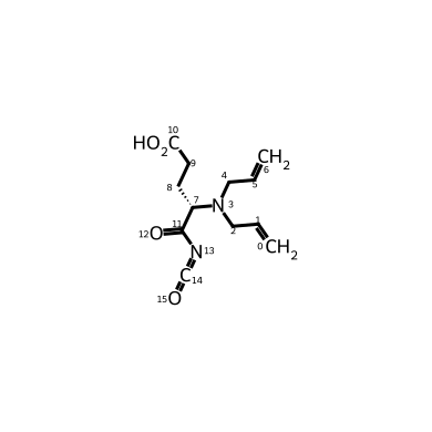 C=CCN(CC=C)[C@@H](CCC(=O)O)C(=O)N=C=O